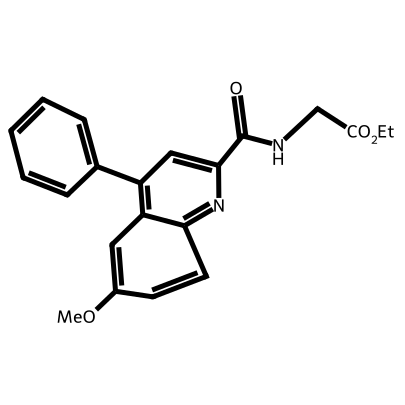 CCOC(=O)CNC(=O)c1cc(-c2ccccc2)c2cc(OC)ccc2n1